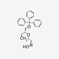 C=C[C@@H](COC(c1ccccc1)(c1ccccc1)c1ccccc1)OC/C=N\O